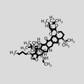 CCCCOc1noc2c1C(=O)[C@@]1(O[Si](C)(C)C(C)(C)C)C(O)=C3C(=O)c4c(c(F)c5c(c4OCCCC)N(C(=O)OC(C)(C)C)CCC5N(C)C)C[C@H]3C[C@H]1[C@@H]2NCC